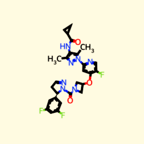 Cc1nn(-c2cc(OC3CN(C(=O)N4N=CC[C@H]4c4cc(F)cc(F)c4)C3)c(F)cn2)c(C)c1NC(=O)C1CC1